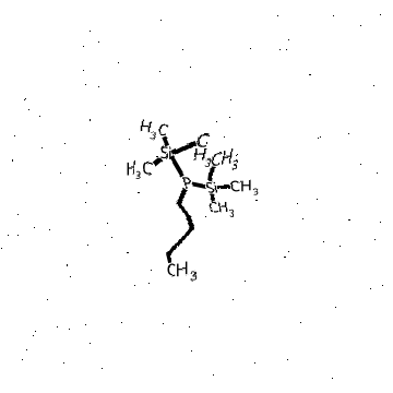 CCCCP([Si](C)(C)C)[Si](C)(C)C